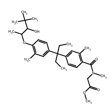 CCC(CC)(c1ccc(OC(C)C(O)C(C)(C)C)c(C)c1)c1ccc(C(=O)N(C)CC(=O)OC)c(C)c1